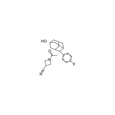 N#CC1CN(C(=O)C[C@]2(c3ccc(F)cc3)C3CC4CC2C[C@](O)(C4)C3)C1